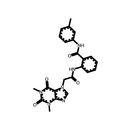 Cc1cccc(NC(=O)c2ccccc2NC(=O)Cn2cnc3c2c(=O)n(C)c(=O)n3C)c1